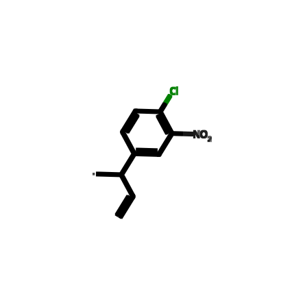 [CH2]C(C=C)c1ccc(Cl)c([N+](=O)[O-])c1